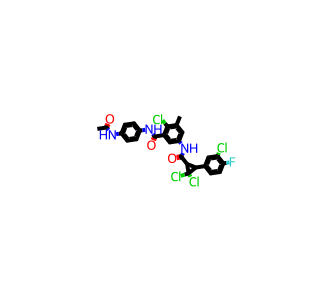 CC(=O)Nc1ccc(NC(=O)c2cc(NC(=O)C3C(c4ccc(F)c(Cl)c4)C3(Cl)Cl)cc(C)c2Cl)cc1